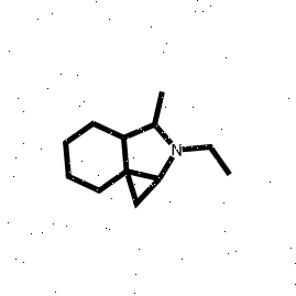 CCN1C(C)C2CCCCC23CC13